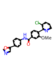 COc1cc(C(=O)Nc2ccc(-c3cnco3)cc2)ccc1-c1ncccc1Cl